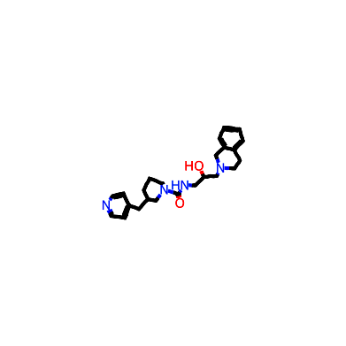 O=C(NCC(O)CN1CCc2ccccc2C1)N1CCCC(Cc2ccncc2)C1